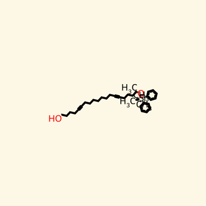 CC(CCCC#CCCCCCCCC#CCCCCO)O[Si](c1ccccc1)(c1ccccc1)C(C)(C)C